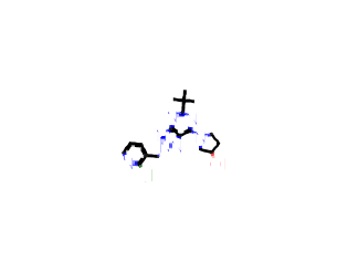 CC(C)(C)c1nc(N2CCC(O)C2)c2nn(Cc3cccnc3Cl)nc2n1